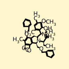 CC[C@H](C#N)N1[C@@H](COCc2ccccc2)c2c(c(OCc3ccccc3)c(C)c3c2OCO3)C[C@H]1[C@@H](c1c(C)cc(C)c(OC)c1O)N(C)C